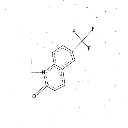 CCn1c(=O)ccc2cc(C(F)(F)F)ccc21